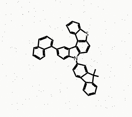 CC1(C)c2ccccc2-c2ccc(-n3c4ccc(-c5cccc6ccccc56)cc4c4c5c(ccc43)sc3ccccc35)cc21